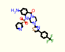 Nc1ccc(C(=O)N2CCN(c3nc(-c4ccc(C(F)(F)F)cc4)cs3)CC2)c(NS(=O)(=O)c2cccnc2)c1